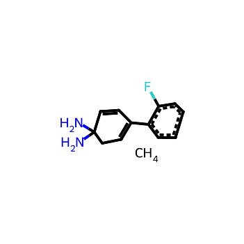 C.NC1(N)C=CC(c2ccccc2F)=CC1